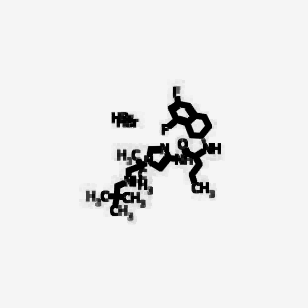 Br.Br.CCCC(N[C@H]1CCc2cc(F)cc(F)c2C1)C(=O)Nc1cn(C(C)(C)CNCC(C)(C)C)cn1